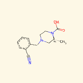 C[C@@H]1CN(Cc2ccccc2C#N)CCN1C(=O)O